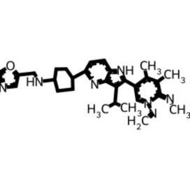 C=Nn1cc(-c2[nH]c3ccc(C4CCC(NCc5cnco5)CC4)nc3c2C(C)C)c(C)c(C)/c1=N/C